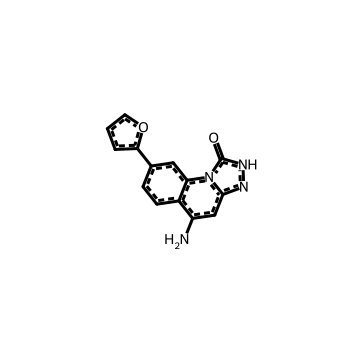 Nc1cc2n[nH]c(=O)n2c2cc(-c3ccco3)ccc12